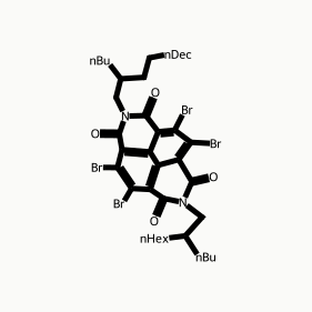 CCCCCCCCCCCCC(CCCC)CN1C(=O)c2c(Br)c(Br)c3c4c(c(Br)c(Br)c(c24)C1=O)C(=O)N(CC(CCCC)CCCCCC)C3=O